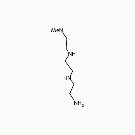 CNCCNCCNCCN